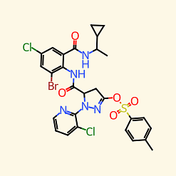 Cc1ccc(S(=O)(=O)OC2=NN(c3ncccc3Cl)C(C(=O)Nc3c(Br)cc(Cl)cc3C(=O)NC(C)C3CC3)C2)cc1